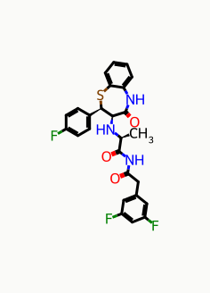 C[C@H](N[C@@H]1C(=O)Nc2ccccc2S[C@@H]1c1ccc(F)cc1)C(=O)NC(=O)Cc1cc(F)cc(F)c1